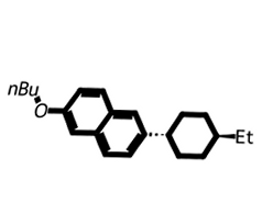 CCCCOc1ccc2cc([C@H]3CC[C@H](CC)CC3)ccc2c1